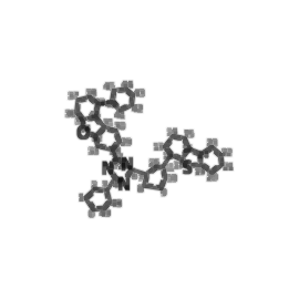 c1ccc(-c2nc(-c3cccc(-c4cccc5c4sc4ccccc45)c3)nc(-c3ccc4c(c3)oc3cccc(-c5ccccc5)c34)n2)cc1